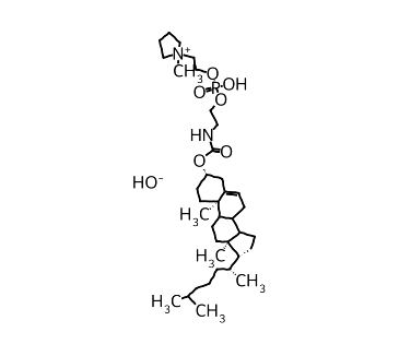 CC(C)CCC[C@@H](C)[C@H]1CCC2C3CC=C4C[C@@H](OC(=O)NCCOP(=O)(O)OCC[N+]5(C)CCCC5)CC[C@]4(C)C3CC[C@@]21C.[OH-]